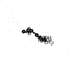 CC(C)C(NS(=O)(=O)N1CCN(c2ccc(C#Cc3ccc4c(c3)C(=O)N(Cc3ccccc3)CCO4)cc2)CC1)C(=O)O